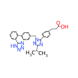 CC(C)c1nc(-c2ccc(CCC(=O)O)cc2)n(Cc2ccc(-c3ccccc3-c3nnn[nH]3)cc2)n1